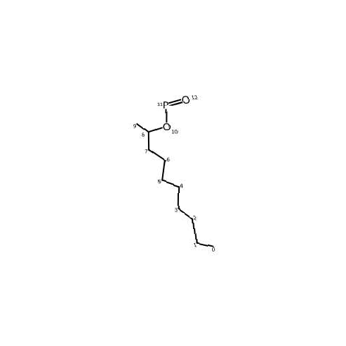 CCCCCCCCC(C)OP=O